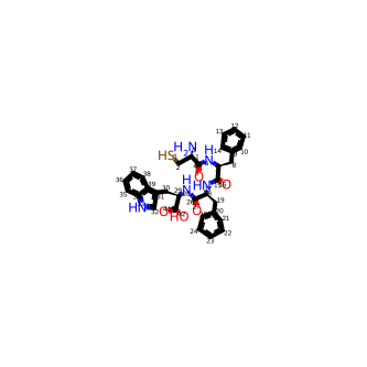 N[C@@H](CS)C(=O)N[C@@H](Cc1ccccc1)C(=O)N[C@@H](Cc1ccccc1)C(=O)N[C@H](Cc1c[nH]c2ccccc12)C(=O)O